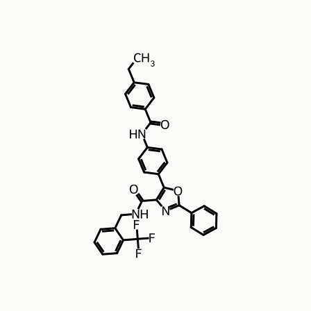 CCc1ccc(C(=O)Nc2ccc(-c3oc(-c4ccccc4)nc3C(=O)NCc3ccccc3C(F)(F)F)cc2)cc1